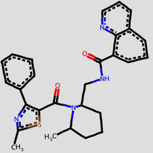 Cc1nc(-c2ccccc2)c(C(=O)N2C(C)CCCC2CNC(=O)c2cccc3cccnc23)s1